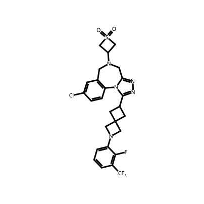 O=S1(=O)CC(N2Cc3cc(Cl)ccc3-n3c(nnc3C3CC4(C3)CN(c3cccc(C(F)(F)F)c3F)C4)C2)C1